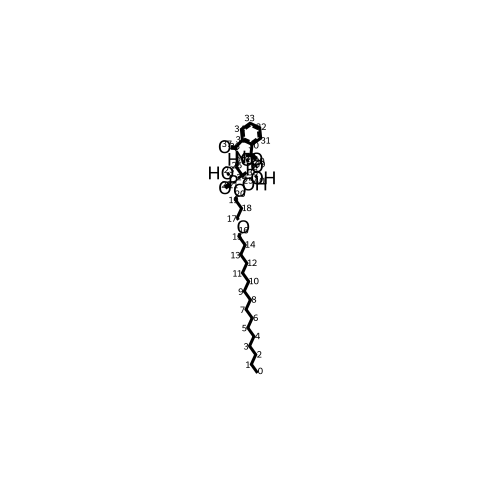 CCCCCCCCCCCCCCCCOCCCOP(=O)(O)C(O)(CN1C(=O)c2ccccc2C1=O)P(=O)(O)O